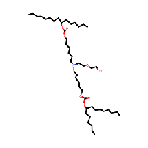 CCCCCCCCC(CCCCCC)OC(=O)OCCCCCCN(CCCCCCOC(=O)OC(CCCCCC)CCCCCCCC)CCOCCO